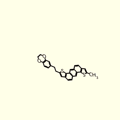 Cc1cc2ccc3cc4c(ccc5cc(CCc6ccc7c(c6)OCCO7)sc54)cc3c2s1